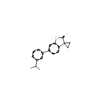 CC(C)c1cccc(-c2ccc3c(c2)NC(=O)C32CC2)c1